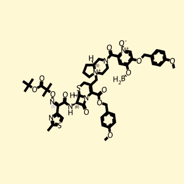 BOc1cc(C(=O)N2CC[N+]3(CC4=C(C(=O)OCc5ccc(OC)cc5)N5C(=O)[C@@H](NC(=O)/C(=N\OC(C)(C)C(=O)OC(C)(C)C)c6csc(C)n6)[C@H]5SC4)CCC[C@H]3C2)[n+]([O-])cc1OCc1ccc(OC)cc1